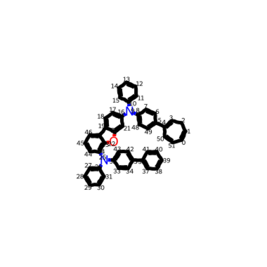 C1=CCC=C(c2ccc(N(c3ccccc3)c3ccc4c(c3)oc3c(N(c5ccccc5)c5ccc(-c6ccccc6)cc5)cccc34)cc2)C=C1